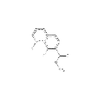 COC(=O)c1ccc2ccc[n+]([O-])c2c1F